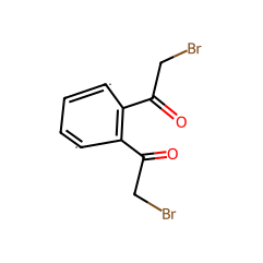 O=C(CBr)c1[c]cc[c]c1C(=O)CBr